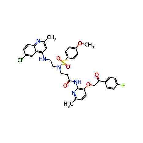 COc1ccc(S(=O)(=O)N(CCNc2cc(C)nc3ccc(Cl)cc23)CCC(=O)Nc2nc(C)ccc2OCC(=O)c2ccc(F)cc2)cc1